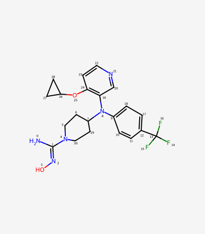 NC(=NO)N1CCC(N(c2ccc(C(F)(F)F)cc2)c2cnccc2OC2CC2)CC1